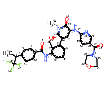 CC(c1ccc(C(=O)Nc2cccc(-c3cc(Nc4ccc(C(=O)N5CCOCC5)cn4)c(=O)n(C)c3)c2CO)cc1)C(F)(F)F